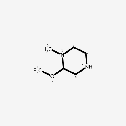 CN1C[CH]NCC1OC(F)(F)F